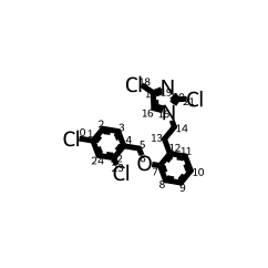 Clc1ccc(COc2ccccc2CCn2cc(Cl)nc2Cl)c(Cl)c1